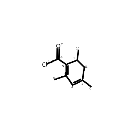 CC1=CC(C)=C(C(=O)Cl)C(C)C1